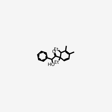 CCC1C(C)=C(C)C=CC1(CC)C(=O)C(O)c1ccccc1